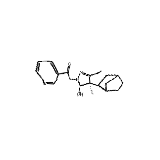 CC1=NN(CC(=O)c2ccccc2)C(O)[C@]1(C)C1CC2CCC1C2